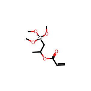 C=CC(=O)OC(C)C[Si](OC)(OC)OC